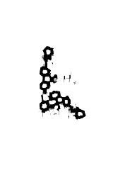 CCC1(CC)c2cc(-c3nc4ccccc4s3)ccc2-c2ccc(N(Cc3ccccc3)c3ccc4c(c3)C(CC)(CC)c3cc(-c5nc6ccccc6s5)ccc3-4)cc21